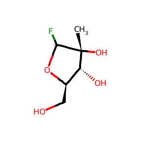 C[C@]1(O)[C](F)O[C@H](CO)[C@H]1O